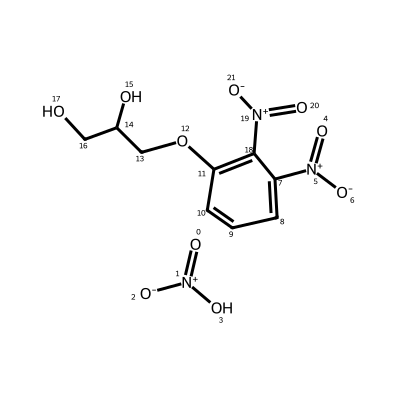 O=[N+]([O-])O.O=[N+]([O-])c1cccc(OCC(O)CO)c1[N+](=O)[O-]